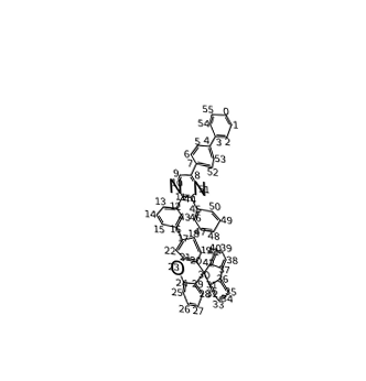 c1ccc(-c2ccc(-c3cnc(-c4cccc(-c5ccc6c(c5)Oc5ccccc5C65c6ccccc6-c6ccccc65)c4)c(-c4ccccc4)n3)cc2)cc1